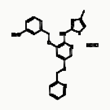 COc1cccc(COc2cc(SCc3ccccn3)cnc2Nc2nc(C)cs2)c1.Cl.Cl